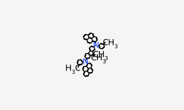 Cc1cccc(N(c2ccc3c(c2)C(C)(C)c2cc(N(c4cccc(C)c4)c4ccc5ccc6cccc7ccc4c5c67)ccc2-3)c2ccc3ccc4cccc5ccc2c3c45)c1